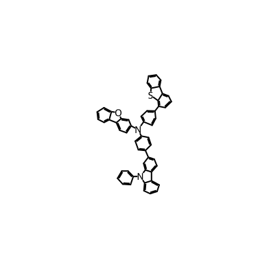 c1ccc(-n2c3ccccc3c3ccc(-c4ccc(N(c5ccc(-c6cccc7c6sc6ccccc67)cc5)c5ccc6c(c5)oc5ccccc56)cc4)cc32)cc1